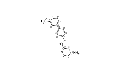 NC1CCC[C@@H](OCc2ccc(-c3cccc(C(F)(F)F)c3)cc2)C1